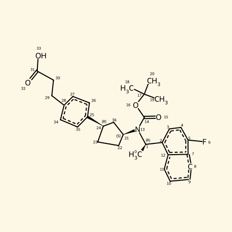 C[C@H](c1ccc(F)c2ccccc12)N(C(=O)OC(C)(C)C)[C@H]1CC[C@@H](c2ccc(CCC(=O)O)cc2)C1